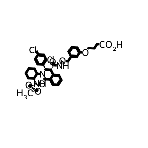 CS(=O)(=O)N[C@H]1CCCCC1N1C(=O)c2ccccc2[C@@H](C(=O)NOCc2cccc(OCCCC(=O)O)c2)[C@@H]1c1ccc(Cl)cc1Cl